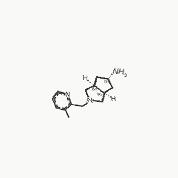 Cc1cccnc1CN1C[C@H]2C[C@H](N)C[C@H]2C1